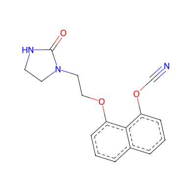 N#COc1cccc2cccc(OCCN3CCNC3=O)c12